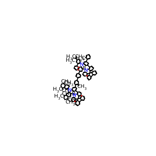 Cc1ccccc1-c1cc2c3c(c1)N(c1ccc(C(C)(C)C)cc1-c1ccccc1)c1ccc(-c4ccc(-c5ccc(-c6cc7c8c(c6)N(c6ccc9c(c6)C(C)(C)CCC9(C)C)c6cc9c(cc6B8N6c8ccccc8C8(c%10ccccc%10-c%10ccccc%108)c8cccc-7c86)C(C)(C)CCC9(C)C)c(C)c5)cc4)cc1B3N1c3ccccc3C3(c4ccccc4-c4ccccc43)c3cccc-2c31